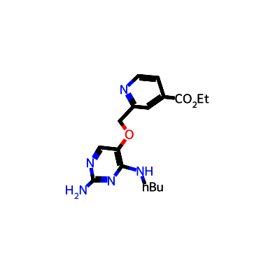 CCCCNc1nc(N)ncc1OCc1cc(C(=O)OCC)ccn1